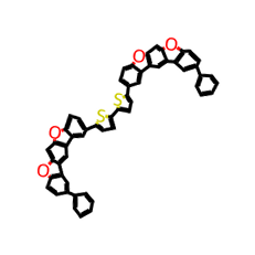 c1ccc(-c2ccc3oc4cc5oc6ccc(-c7ccc(-c8ccc(-c9ccc%10oc%11cc%12oc%13ccc(-c%14ccccc%14)cc%13c%12cc%11c%10c9)s8)s7)cc6c5cc4c3c2)cc1